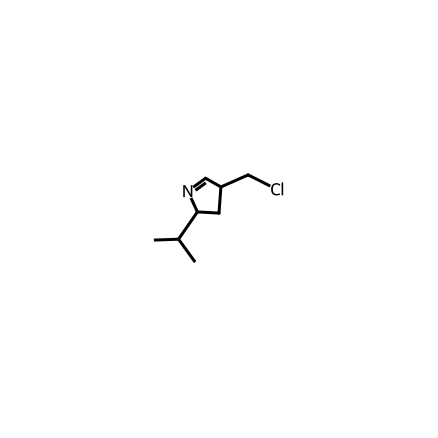 CC(C)C1CC(CCl)C=N1